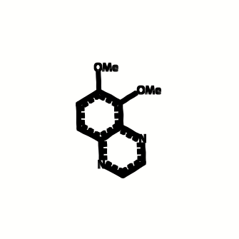 COc1ccc2nccnc2c1OC